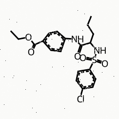 CCCC(NS(=O)(=O)c1ccc(Cl)cc1)C(=O)Nc1ccc(C(=O)OCC)cc1